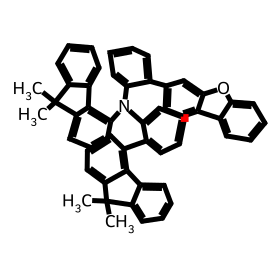 CC1(C)c2ccccc2-c2c(-c3ccccc3N(c3ccccc3-c3ccc4c(c3)oc3ccccc34)c3cccc4c3-c3ccccc3C4(C)C)cccc21